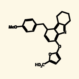 COc1ccc(CC2C=CC(Oc3ccc(C(=O)O)o3)=C3N=C4CCCCC4=C32)cc1